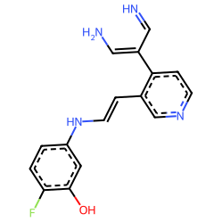 N=C/C(=C\N)c1ccncc1/C=C/Nc1ccc(F)c(O)c1